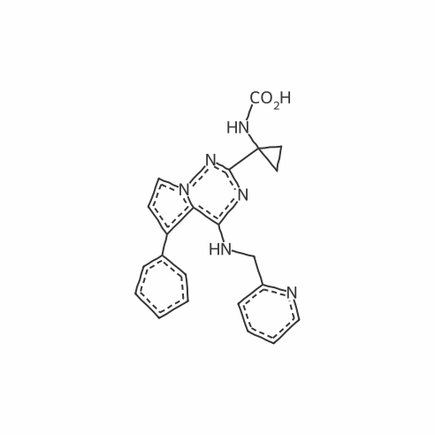 O=C(O)NC1(c2nc(NCc3ccccn3)c3c(-c4ccccc4)ccn3n2)CC1